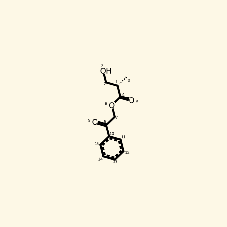 C[C@@H](CO)C(=O)OCC(=O)c1ccccc1